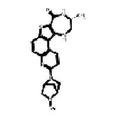 CC(C)N1CC2CC1CN2c1ccc2c(ccc3sc4c(c32)NC[C@@H](C)NC4=O)n1